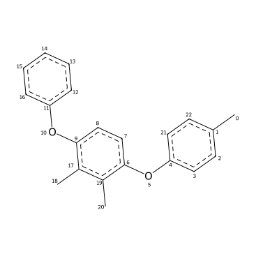 Cc1ccc(Oc2ccc(Oc3ccccc3)c(C)c2C)cc1